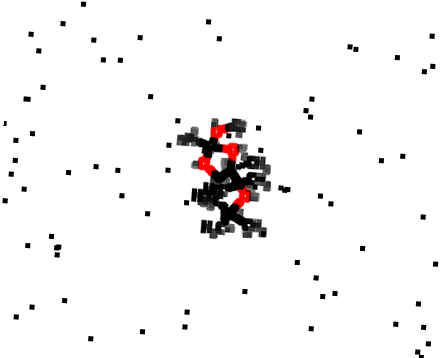 CCC[Si]1(OCC)O[C@@H](C)[C@](C)(C(C)(C)O[Si](C)(C)C)O1